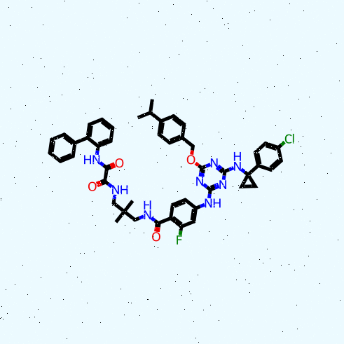 CC(C)c1ccc(COc2nc(Nc3ccc(C(=O)NCC(C)(C)CNC(=O)C(=O)Nc4ccccc4-c4ccccc4)c(F)c3)nc(NC3(c4ccc(Cl)cc4)CC3)n2)cc1